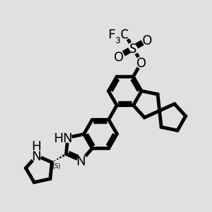 O=S(=O)(Oc1ccc(-c2ccc3nc([C@@H]4CCCN4)[nH]c3c2)c2c1CC1(CCCC1)C2)C(F)(F)F